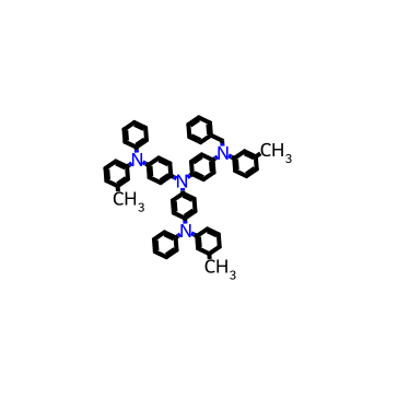 Cc1cccc(N(Cc2ccccc2)c2ccc(N(c3ccc(N(C4=CC(C)CC=C4)c4ccccc4)cc3)c3ccc(N(c4ccccc4)c4cccc(C)c4)cc3)cc2)c1